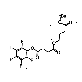 CC(C)(C)OC(=O)CCCOC(=O)CCC(=O)Oc1c(F)c(F)c(F)c(F)c1F